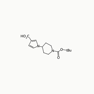 CC(C)(C)OC(=O)N1CCC(n2ccc(C(=O)O)c2)CC1